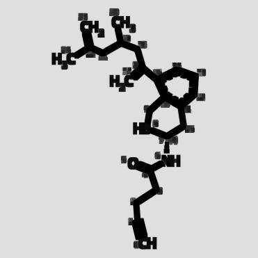 C#CCCC(=O)N[C@@H]1BCc2c(cccc2C(=C)CC(C)CC(=C)C)C1